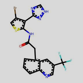 O=C(Cc1cccc2ncc(C(F)(F)F)cc12)Nc1scc(Br)c1-c1nc[nH]n1